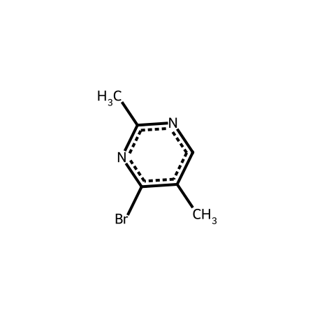 Cc1ncc(C)c(Br)n1